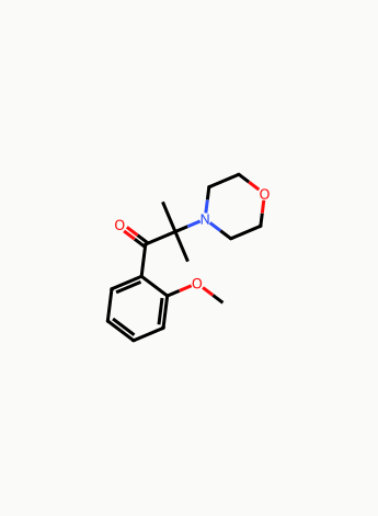 COc1ccccc1C(=O)C(C)(C)N1CCOCC1